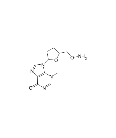 Cn1cnc(=O)c2ncn(C3CCC(CON)O3)c21